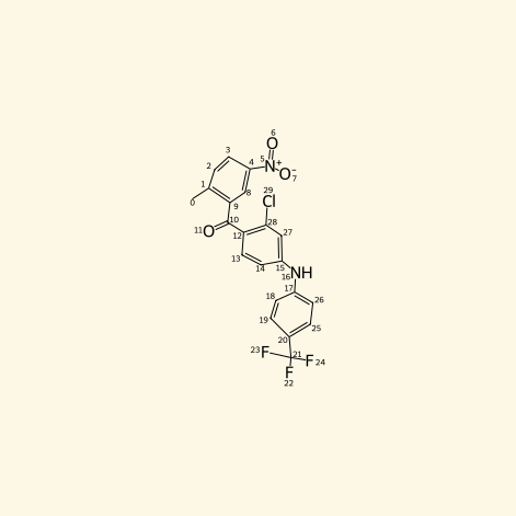 Cc1ccc([N+](=O)[O-])cc1C(=O)c1ccc(Nc2ccc(C(F)(F)F)cc2)cc1Cl